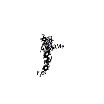 COCOc1cc(-c2ncn(-c3ccc(OC(F)(F)F)cc3)n2)ccc1NC(=O)/N=C1\SCC(=O)N1c1cc(C)ccc1OCC(F)(F)F